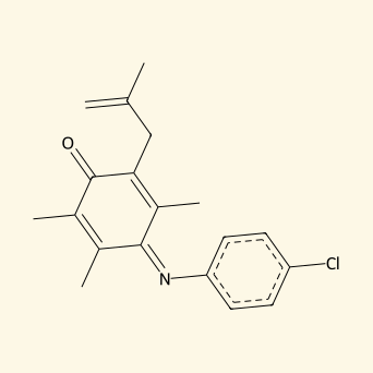 C=C(C)CC1=C(C)/C(=N\c2ccc(Cl)cc2)C(C)=C(C)C1=O